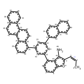 C/C=C\c1oc2cccc(-c3nc(-c4ccc5ccccc5c4)nc(-c4cccc5c4ccc4c6ccccc6ccc54)n3)c2c1N